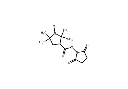 CC1(C)CC(C(=O)ON2C(=O)CCC2=O)C(C)(C)N1[O]